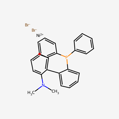 CN(C)c1ccccc1-c1ccccc1P(c1ccccc1)c1ccccc1.[Br-].[Br-].[Ni+2]